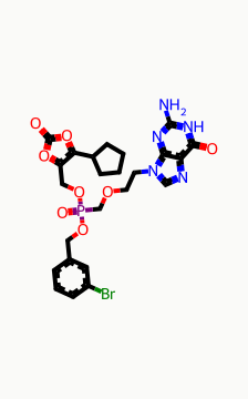 Nc1nc2c(ncn2CCOCP(=O)(OCc2cccc(Br)c2)OCc2oc(=O)oc2C2CCCC2)c(=O)[nH]1